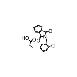 CCC(=O)O.O=C1c2ccccc2C(=O)N1Cc1ccccc1Cl